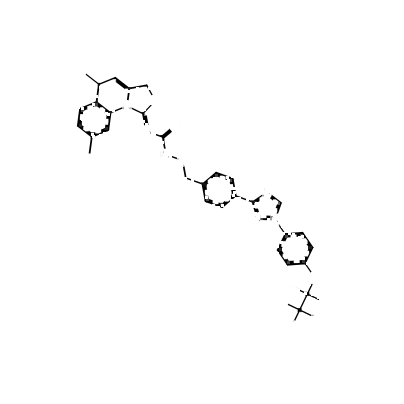 Cc1ccc2c(c1)N1C(=CC2C)CS/C1=N\C(=O)NOCc1ccc(-c2ncn(-c3ccc(OC(F)(F)C(F)(F)F)cc3)n2)cc1